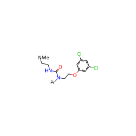 CNCCNC(=O)N(CCOc1cc(Cl)cc(Cl)c1)C(C)C